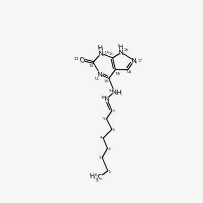 CCCCCCCC=NNc1nc(=O)[nH]c2[nH]ncc12